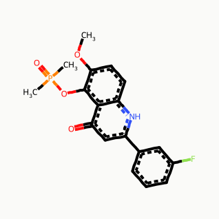 COc1ccc2[nH]c(-c3cccc(F)c3)cc(=O)c2c1OP(C)(C)=O